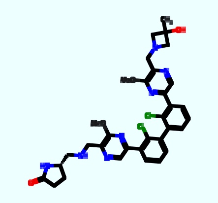 COc1nc(-c2cccc(-c3cccc(-c4cnc(CN5CC(C)(O)C5)c(OC)n4)c3Cl)c2Cl)cnc1CNC[C@@H]1CCC(=O)N1